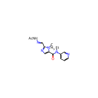 CCN(C(=O)c1cnc(/C=N/NC(C)=O)n1C)c1cccnc1